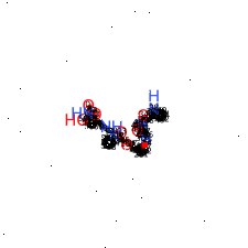 O=C1COc2c(CCNCCN(C(=O)CCOCCc3cccc(CN4CCC5(CC4)CN(C(=O)Cc4c[nH]c6ccccc46)CCO5)c3)C3CCCCC3)ccc(O)c2N1